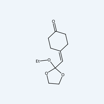 CCOC1(C=C2CCC(=O)CC2)OCCO1